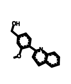 COc1cc(CO)ccc1-c1ccc2ccccc2n1